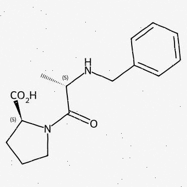 C[C@H](NCc1ccccc1)C(=O)N1CCC[C@H]1C(=O)O